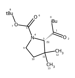 CCC(C)C(=O)[C@H]1N(C(=O)OC(C)(C)C)CCC1(C)C